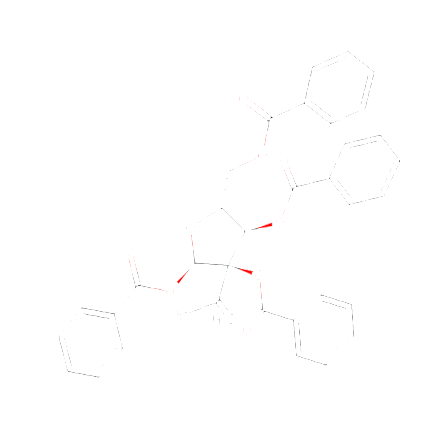 C=C(CC)[C@]1(OC(=O)c2ccccc2)[C@@H](OC(=O)c2ccccc2)O[C@H](COC(=O)c2ccccc2)[C@H]1OC(=O)c1ccccc1